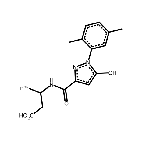 CCCC(CC(=O)O)NC(=O)c1cc(O)n(-c2cc(C)ccc2C)n1